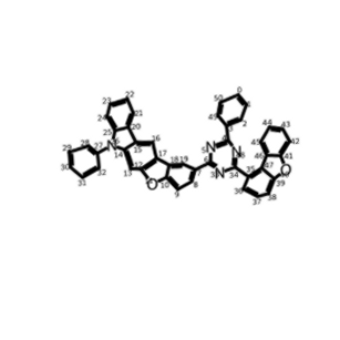 c1ccc(-c2nc(-c3ccc4oc5cc6c(cc5c4c3)c3ccccc3n6-c3ccccc3)nc(-c3cccc4oc5ccccc5c34)n2)cc1